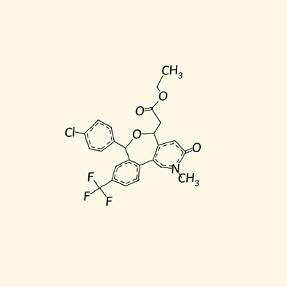 CCOC(=O)CC1OC(c2ccc(Cl)cc2)c2cc(C(F)(F)F)ccc2-c2cn(C)c(=O)cc21